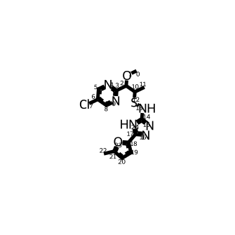 COC(c1ncc(Cl)cn1)C(C)SNc1nnc(-c2ccc(C)o2)[nH]1